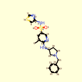 Cc1cc(S(=O)(=O)Nc2cscn2)cnc1NC1CCN(Cc2ccccc2)C1